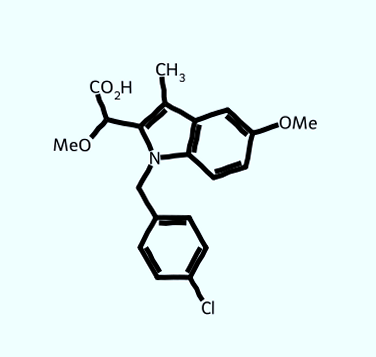 COc1ccc2c(c1)c(C)c(C(OC)C(=O)O)n2Cc1ccc(Cl)cc1